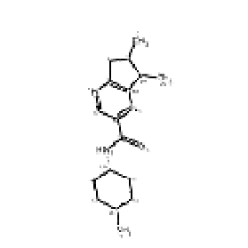 CC1Cc2ncc(C(=O)N[C@H]3CC[C@H](C)CC3)nc2C1C